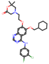 CC1(C)CN(CCOc2cc3ncnc(Nc4ccc(F)c(Cl)c4)c3cc2OCC2CCCCC2)CC(=O)O1